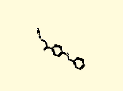 [N-]=[N+]=NCC(=O)c1ccc(OCc2ccccc2)cc1